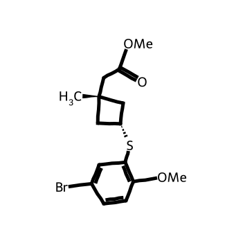 COC(=O)C[C@]1(C)C[C@H](Sc2cc(Br)ccc2OC)C1